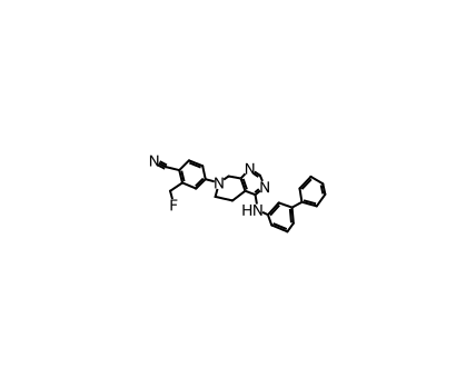 N#Cc1ccc(N2CCc3c(ncnc3Nc3cccc(-c4ccccc4)c3)C2)cc1CF